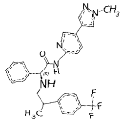 CC(CN[C@H](C(=O)Nc1ccc(-c2cnn(C)c2)cn1)c1ccccc1)c1ccc(C(F)(F)F)cc1